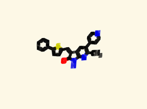 Cc1nc2c(cc1-c1ccncc1)C(=Cc1ccc(-c3ccccc3)s1)C(=O)N2